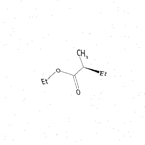 CCOC(=O)[C@@H](C)CC